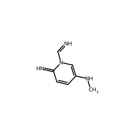 CNc1ccc(=N)n(C=N)c1